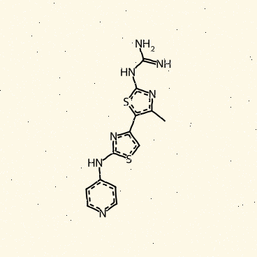 Cc1nc(NC(=N)N)sc1-c1csc(Nc2ccncc2)n1